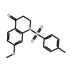 COc1ccc2c(c1)N(S(=O)(=O)c1ccc(C)cc1)CCC2=O